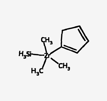 [CH3][Zr]([CH3])([CH3])([SiH3])[C]1=CC=CC1